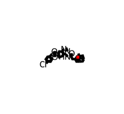 CC12C=C3CC(C1)CC(CC(=O)Nc1ncnc4c1CCN(S(=O)(=O)Cc1ccc(Cl)cc1)C4)(C3)C2